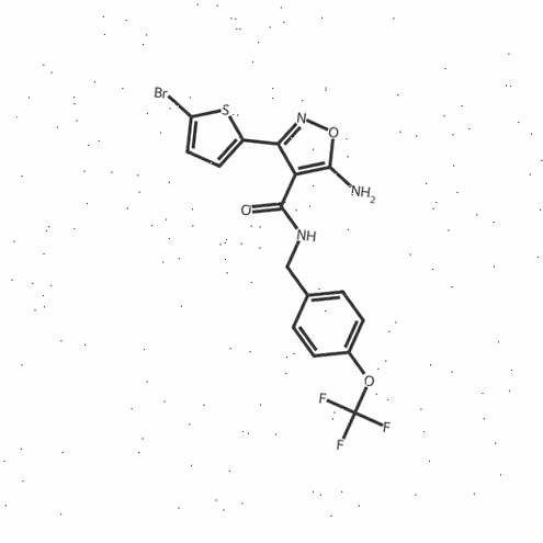 Nc1onc(-c2ccc(Br)s2)c1C(=O)NCc1ccc(OC(F)(F)F)cc1